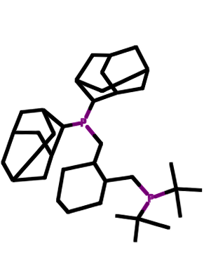 CC(C)(C)P(CC1CCCCC1CP(C1C2CC3CC(C2)CC1C3)C1C2CC3CC(C2)CC1C3)C(C)(C)C